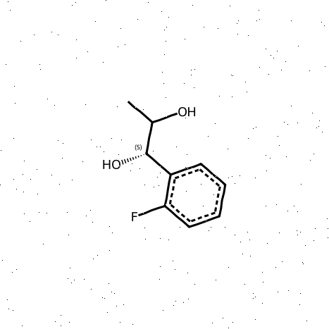 CC(O)[C@@H](O)c1ccccc1F